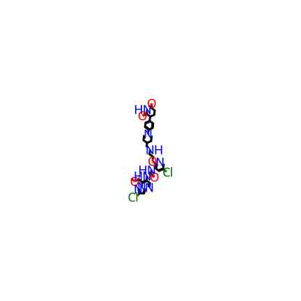 CO[C@@H](C)c1c(NC(=O)Nc2cc(Cl)cnc2OCCNCC2CCN(c3ccc(C4CCC(=O)NC4=O)cc3)CC2)cnc2cc(Cl)nn12